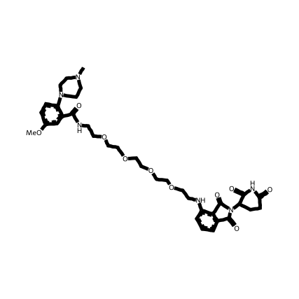 COc1ccc(N2CCN(C)CC2)c(C(=O)NCCOCCOCCOCCOCCNc2cccc3c2C(=O)N(C2CCC(=O)NC2=O)C3=O)c1